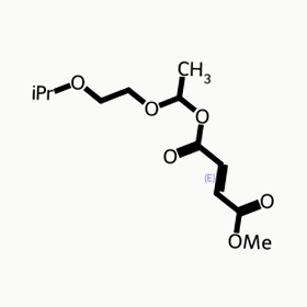 COC(=O)/C=C/C(=O)OC(C)OCCOC(C)C